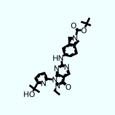 CCn1c(=O)c2cnc(Nc3ccc4cn(C(=O)OC(C)(C)C)cc4c3)nc2n1-c1cccc(C(C)(C)O)n1